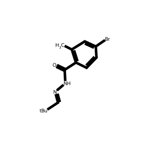 Cc1cc(Br)ccc1C(=O)N/N=C/C(C)(C)C